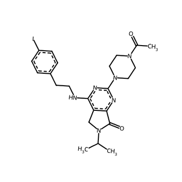 CC(=O)N1CCN(c2nc(NCCc3ccc(I)cc3)c3c(n2)C(=O)N(C(C)C)C3)CC1